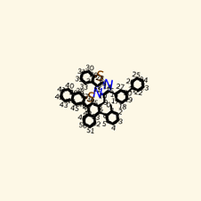 Cc1ccccc1-c1c(Cc2nc3c(nc2-c2cccc(-c4ccccc4)c2)sc2ccccc23)c2sc3cc4ccccc4cc3c2c2ccccc12